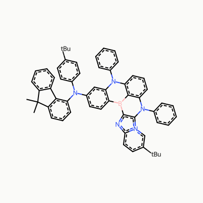 CC(C)(C)c1ccc(N(c2ccc3c(c2)N(c2ccccc2)c2cccc4c2B3c2nc3ccc(C(C)(C)C)cn3c2N4c2ccccc2)c2cccc3c2-c2ccccc2C3(C)C)cc1